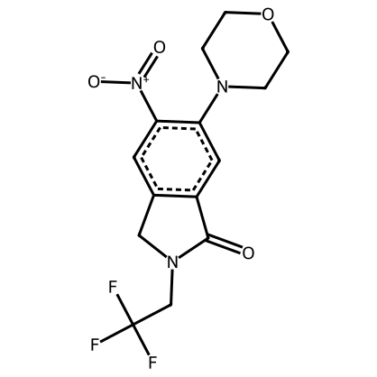 O=C1c2cc(N3CCOCC3)c([N+](=O)[O-])cc2CN1CC(F)(F)F